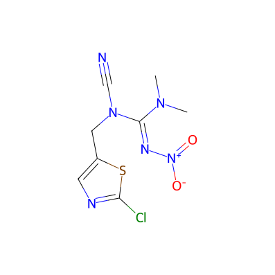 CN(C)C(=N[N+](=O)[O-])N(C#N)Cc1cnc(Cl)s1